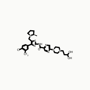 C[C@@H]1CCCN1Cc1sc(NC(=O)c2cnc(N3CCN(CCC(O)O)CC3)cn2)nc1-c1ccc(Cl)c(C(F)(F)F)c1